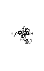 Cc1ccc(S(=O)(=O)c2c(F)cnc3[nH]cc(-c4ncc(F)c(NC(CC#N)C(C)(C)C)n4)c23)cc1